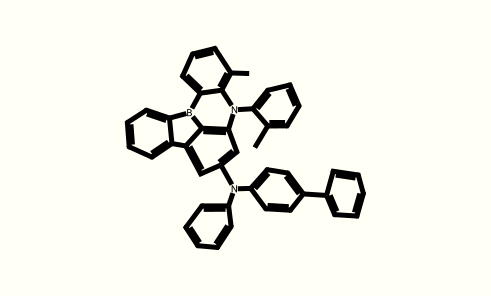 Cc1ccccc1N1c2cc(N(c3ccccc3)c3ccc(-c4ccccc4)cc3)cc3c2B(c2ccccc2-3)c2cccc(C)c21